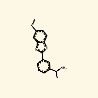 CSc1ccc2oc(-c3cccc(C(C)N)c3)nc2c1